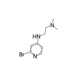 CN(C)CCNc1ccnc(Br)c1